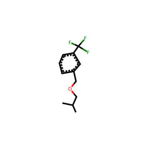 CC(C)COCc1cccc(C(F)(F)F)c1